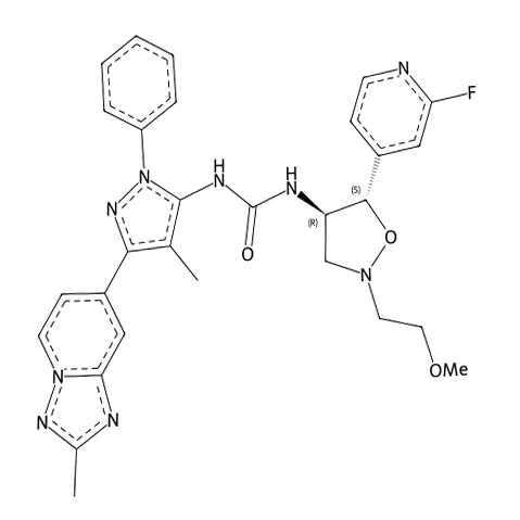 COCCN1C[C@@H](NC(=O)Nc2c(C)c(-c3ccn4nc(C)nc4c3)nn2-c2ccccc2)[C@H](c2ccnc(F)c2)O1